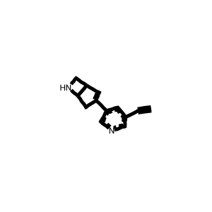 C#Cc1cncc(C2=CC3CNC3C2)c1